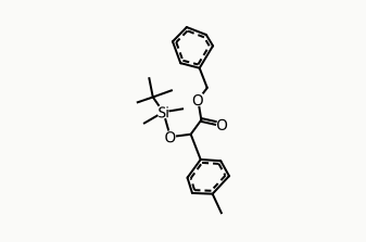 Cc1ccc(C(O[Si](C)(C)C(C)(C)C)C(=O)OCc2ccccc2)cc1